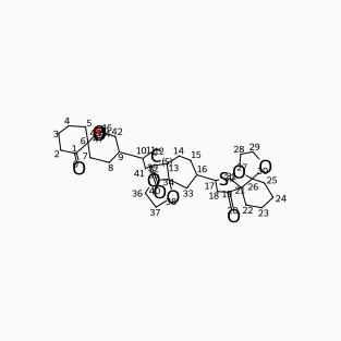 O=C1CCCCC12CCC(C1CC[C@@]3(CCC(C4CC(=O)C5(CCCCC56OCCO6)CS4)CC34OCCO4)C(=O)C1)CC21OCCO1